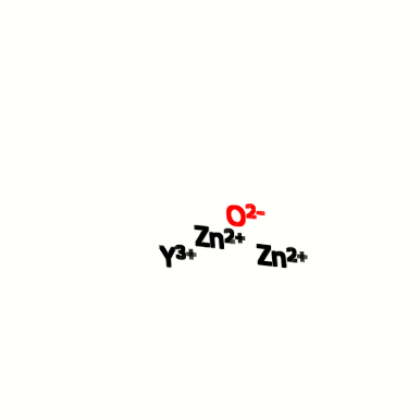 [O-2].[Y+3].[Zn+2].[Zn+2]